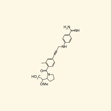 COC(C(=O)O)C1CCCN1C(=O)c1ccc(C#CCNc2ccc(C(=N)N)cc2)cc1C